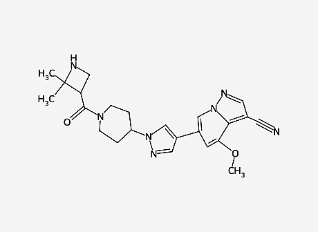 COc1cc(-c2cnn(C3CCN(C(=O)C4CNC4(C)C)CC3)c2)cn2ncc(C#N)c12